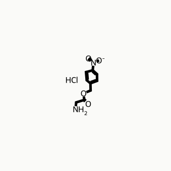 Cl.NCC(=O)OCc1ccc([N+](=O)[O-])cc1